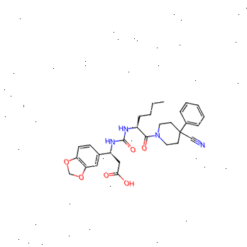 CCCC[C@H](NC(=O)N[C@@H](CC(=O)O)c1ccc2c(c1)OCO2)C(=O)N1CCC(C#N)(c2ccccc2)CC1